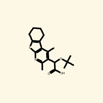 Cc1nc2sc3c(c2c(I)c1C(OC(C)(C)C)C(=O)O)CCCC3